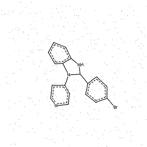 Brc1ccc(C2Nc3ccccc3N2c2ccncc2)cc1